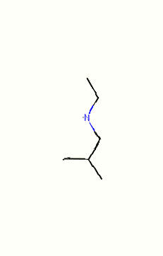 CC[N]CC(C)C